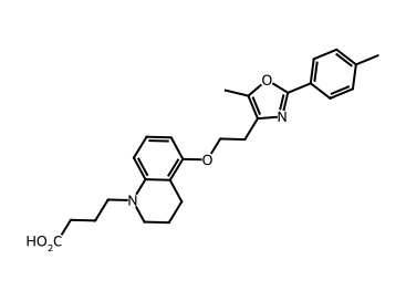 Cc1ccc(-c2nc(CCOc3cccc4c3CCCN4CCCC(=O)O)c(C)o2)cc1